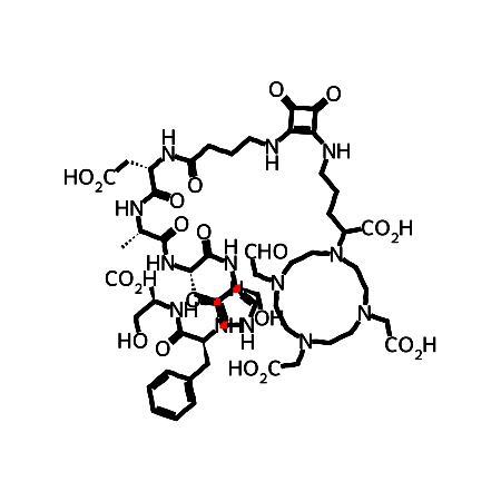 C[C@H](NC(=O)[C@H](CC(=O)O)NC(=O)CCCNc1c(NCCCC(C(=O)O)N2CCN(CC=O)CCN(CC(=O)O)CCN(CC(=O)O)CC2)c(=O)c1=O)C(=O)N[C@@H](Cc1c[nH]cn1)C(=O)N[C@@H](CO)C(=O)N[C@@H](Cc1ccccc1)C(=O)N[C@@H](CO)C(=O)O